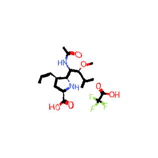 C/C=C\[C@@H]1C[C@H](C(=O)O)N[C@H]1[C@@H](NC(C)=O)[C@H](OC)C(C)C.O=C(O)C(F)(F)F